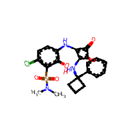 CN(C)S(=O)(=O)c1c(Cl)ccc(Nc2c(NC3(c4ccccc4)CCC3)c(=O)c2=O)c1O